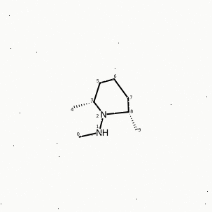 CNN1[C@H](C)CCC[C@@H]1C